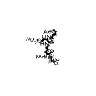 CCNCCNC(=O)C(CCCCNC(=O)C(CCC(=O)O)NC(=O)C1CCCN1C(C)=O)NC